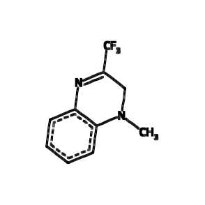 CN1CC(C(F)(F)F)=Nc2ccccc21